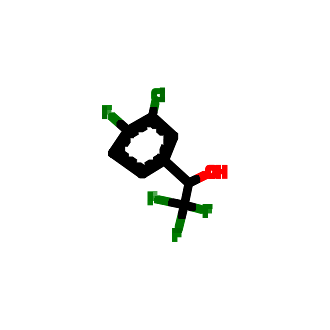 OC(c1ccc(F)c(Cl)c1)C(F)(F)F